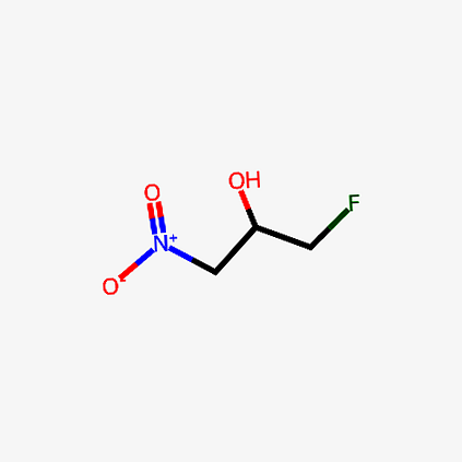 O=[N+]([O-])CC(O)CF